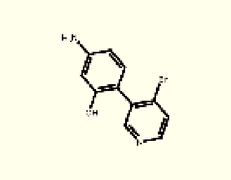 Nc1ccc(-c2cnccc2Br)c(O)c1